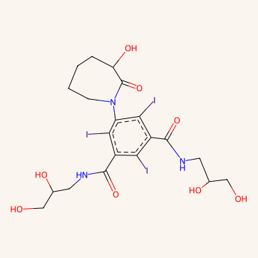 O=C(NCC(O)CO)c1c(I)c(C(=O)NCC(O)CO)c(I)c(N2CCCCC(O)C2=O)c1I